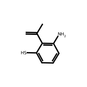 C=C(C)c1c(N)cccc1S